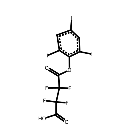 O=C(O)C(F)(F)C(F)(F)C(=O)Oc1c(I)cc(I)cc1I